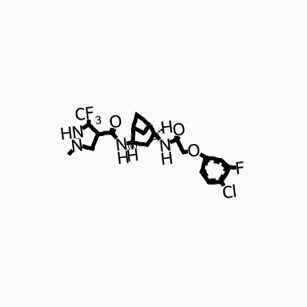 CN1CC(C(=O)N[C@@H]2C[C@H](NC(=O)COc3ccc(Cl)c(F)c3)C3CC2C3)C(C(F)(F)F)N1